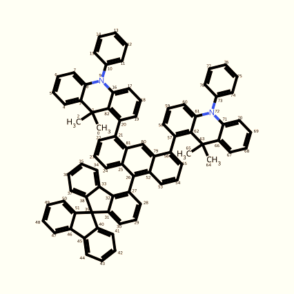 CC1(C)c2ccccc2N(c2ccccc2)c2cccc(-c3cccc4c(-c5cccc6c5-c5ccccc5C65c6ccccc6-c6ccccc65)c5cccc(-c6cccc7c6C(C)(C)c6ccccc6N7c6ccccc6)c5cc34)c21